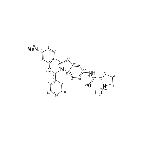 CNc1ccc2c(c1)OC(c1ccccc1)n1c-2cc2cc(NC(=O)C3CCCN3C)ccc21